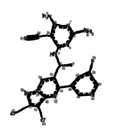 C[C@H](Nc1nc(N)nc(N)c1C#N)c1cn2nc(Cl)c(Cl)c2nc1-c1cncc(F)c1